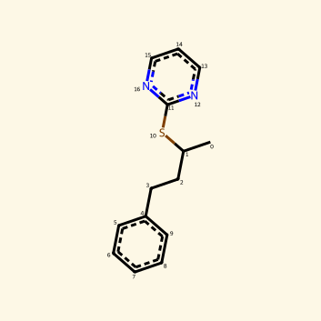 CC(CCc1ccccc1)Sc1ncccn1